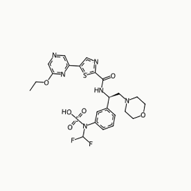 CCOc1cncc(-c2cnc(C(=O)N[C@@H](CN3CCOCC3)c3cccc(N(C(F)F)S(=O)(=O)O)c3)s2)n1